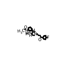 CC(=O)Nc1cccc2c1N[C@H]1CCN(CCCC(=O)c3ccc(F)cc3)C[C@@H]21